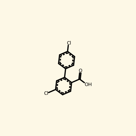 O=C(O)c1ccc(Cl)cc1-c1ccc(Cl)cc1